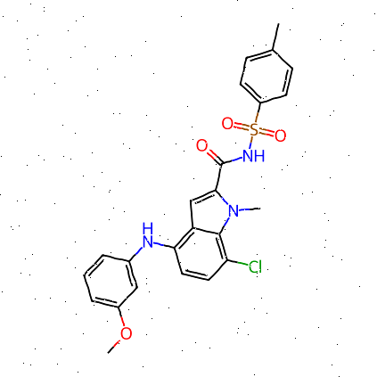 COc1cccc(Nc2ccc(Cl)c3c2cc(C(=O)NS(=O)(=O)c2ccc(C)cc2)n3C)c1